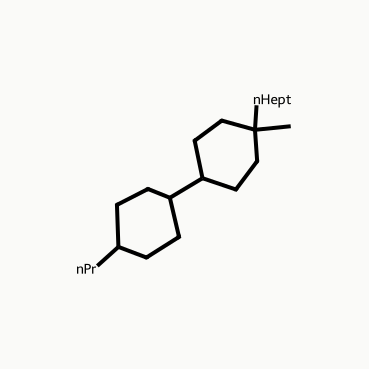 CCCCCCCC1(C)CCC(C2CCC(CCC)CC2)CC1